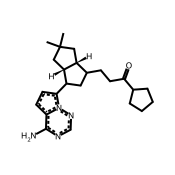 CC1(C)C[C@@H]2C(CCC(=O)C3CCCC3)CC(c3ccc4c(N)ncnn34)[C@@H]2C1